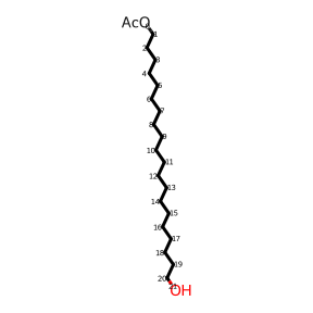 CC(=O)OCCCCCCCCCCCCCCCCCCCCO